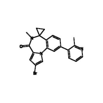 Cc1ncccc1-c1ccc2c(c1)-n1cc(Br)cc1C(=O)N(C)C21CC1